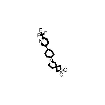 O=S1(=O)CC2(CCN([C@H]3CC[C@H](c4ccc(C(F)(F)F)nc4)CC3)C2)C1